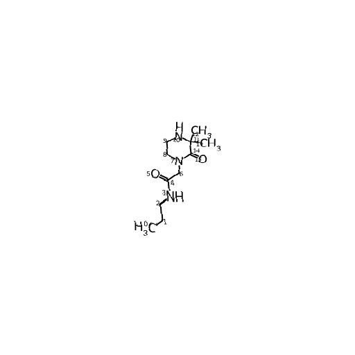 CCCNC(=O)CN1CCNC(C)(C)C1=O